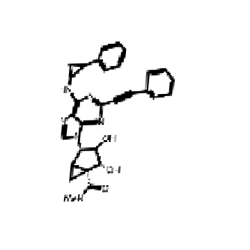 CNC(=O)[C@]12CC1[C@@H](n1cnc3c(NC4CC4c4ccccc4)nc(C#Cc4ccccc4)nc31)C(O)[C@@H]2O